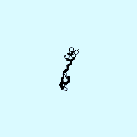 COC(=O)C1(C)OCC(CCCCN2CCc3sccc3C2)CO1